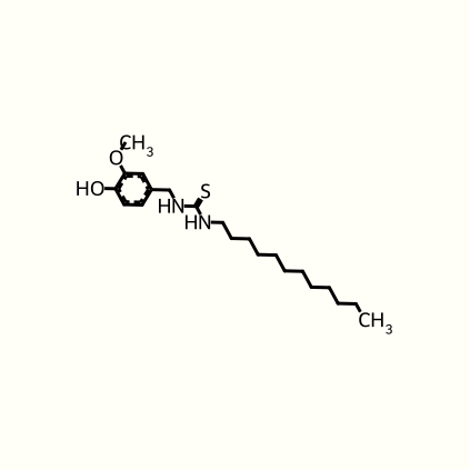 CCCCCCCCCCCCNC(=S)NCc1ccc(O)c(OC)c1